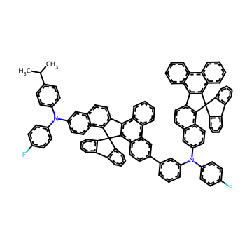 CC(C)c1ccc(N(c2ccc(F)cc2)c2ccc3c4c(ccc3c2)-c2c(c3ccc(-c5cccc(N(c6ccc(F)cc6)c6ccc7c8c(ccc7c6)-c6c(c7ccccc7c7ccccc67)C86c7ccccc7-c7ccccc76)c5)cc3c3ccccc23)C42c3ccccc3-c3ccccc32)cc1